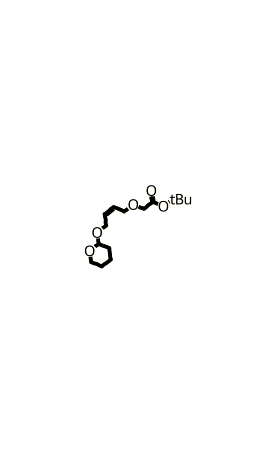 CC(C)(C)OC(=O)COC/C=C\COC1CCCCO1